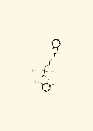 CC(C)c1cccc(C(C)C)c1NC(=O)C(C)(C)CCCSc1nc2ccccc2o1